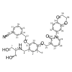 Cc1cc(CNC(CO)CO)c(OCc2cccc(C#N)c2)cc1OCc1cccn(-c2ccc3c(c2)OCCO3)c1=O